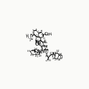 C#Cc1c(C)ccc2cc(O)cc(-c3c(F)cc4c(N5CC6CCC(C5)N6)nc(OCC5(CN6CC7COCC7C6)CC5)nc4c3F)c12